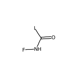 O=C(I)NF